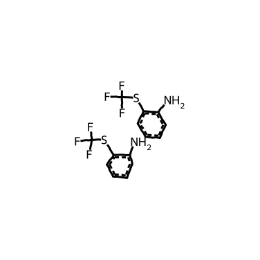 Nc1ccccc1SC(F)(F)F.Nc1ccccc1SC(F)(F)F